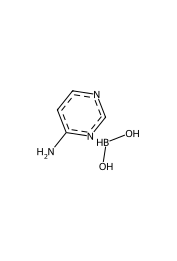 Nc1ccncn1.OBO